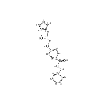 Cn1nnnc1C[C@@H](O)COc1ccc(C(=O)OCc2ccccc2)cc1